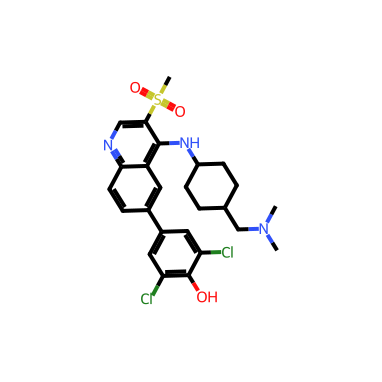 CN(C)CC1CCC(Nc2c(S(C)(=O)=O)cnc3ccc(-c4cc(Cl)c(O)c(Cl)c4)cc23)CC1